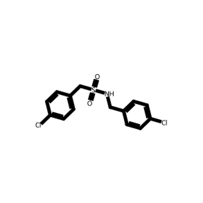 O=S(=O)(Cc1ccc(Cl)cc1)NCc1[c]cc(Cl)cc1